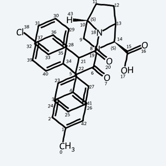 Cc1ccc(C(C(=O)N2C[C@@H]3CCC([C@H]2C(=O)O)N3C(=O)C(c2ccccc2)c2ccccc2)c2ccc(Cl)cc2)cc1